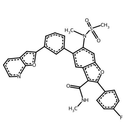 CNC(=O)c1c(-c2ccc(F)cc2)oc2cc(N(C)S(C)(=O)=O)c(-c3cccc(-c4cc5cccnc5o4)c3)cc12